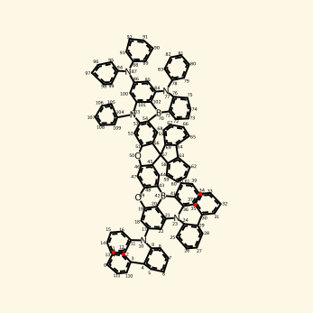 c1ccc(-c2ccccc2N(c2ccccc2)c2cc3c4c(c2)N(c2ccccc2-c2ccccc2)c2ccccc2B4c2cc4c(cc2O3)Oc2cc3c(cc2C42c4ccccc4-c4ccccc42)B2c4ccccc4N(c4ccccc4)c4cc(N(c5ccccc5)c5ccccc5)cc(c42)N3c2ccccc2)cc1